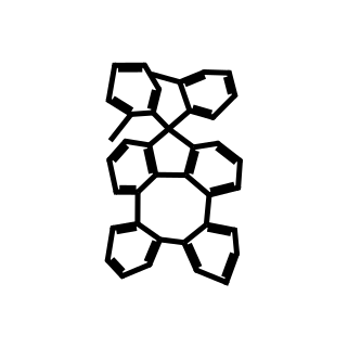 Cc1ccccc1C1(c2ccccc2C)c2cccc3c2-c2c(cccc21)-c1ccccc1-c1ccccc1-3